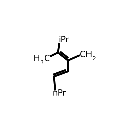 [CH2]C(C=CCCC)=C(C)C(C)C